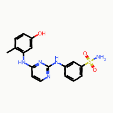 Cc1ccc(O)cc1Nc1ccnc(Nc2cccc(S(N)(=O)=O)c2)n1